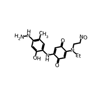 CCN(CCN=O)C1=CC(=O)C(Nc2cc(C)c(NN)cc2O)=CC1=O